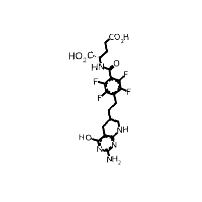 Nc1nc(O)c2c(n1)NCC(CCc1c(F)c(F)c(C(=O)N[C@@H](CCC(=O)O)C(=O)O)c(F)c1F)C2